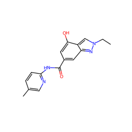 CCn1cc2c(O)cc(C(=O)Nc3ccc(C)cn3)cc2n1